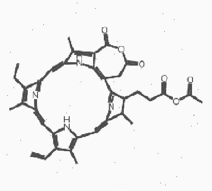 C=Cc1c(C)c2cc3nc(c4c5[nH]c(cc6nc(cc1[nH]2)C(C)=C6CC)c(C)c5C(=O)OC(=O)C4)C(CCC(=O)OC(C)=O)C3C